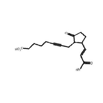 CCCC(=O)/C=C/C1CCC(=O)C1CC#CCCCCC(=O)O